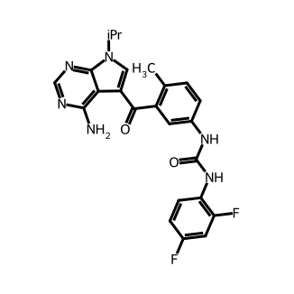 Cc1ccc(NC(=O)Nc2ccc(F)cc2F)cc1C(=O)c1cn(C(C)C)c2ncnc(N)c12